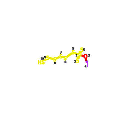 S=S(=S)(OI)SSSSSS